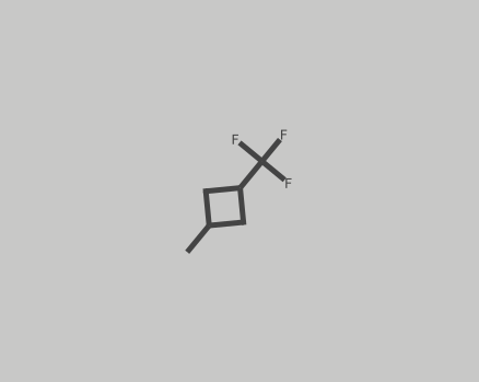 CC1CC(C(F)(F)F)C1